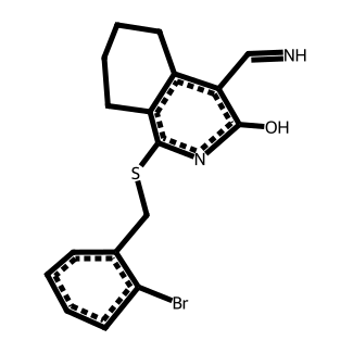 N=Cc1c(O)nc(SCc2ccccc2Br)c2c1CCCC2